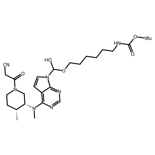 C[C@@H]1CCN(C(=O)CC#N)C[C@@H]1N(C)c1ncnc2c1ccn2C(O)OCCCCCCNC(=O)OC(C)(C)C